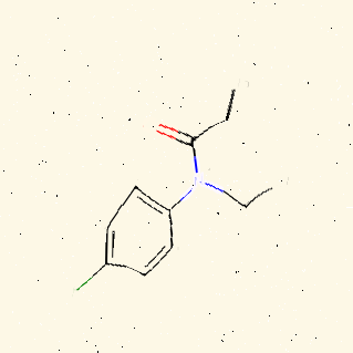 CC(C)CC(=O)N(CC(F)(F)F)c1ccc(Cl)cc1